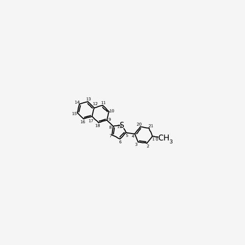 CC1C=CC(c2ccc(-c3ccc4ccccc4c3)s2)=CC1